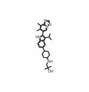 Cc1c(-c2[nH]c3ccc(C4CCC(NCC(C)(C)O)CC4)cc3c2C(C)C)cn2ncnc2c1C